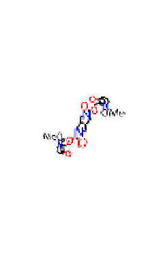 COC[C@]1(COC(=O)N2CC3CN(C(=O)OC[C@@]4(COC)C(=O)C5CCN4CC5)CC3C2)C(=O)C2CCN1CC2